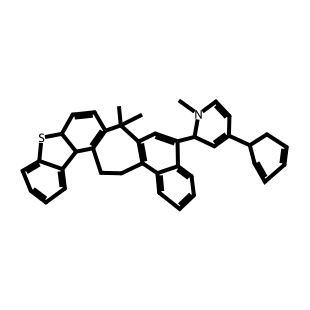 CN1C=CC(C2C=CC=CC2)=CC1c1cc2c(c3ccccc13)CCC1=C(C=CC3Sc4ccccc4C13)C2(C)C